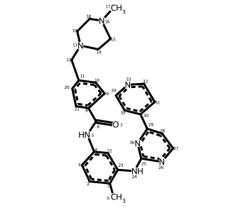 Cc1ccc(NC(=O)c2ccc(CN3CCN(C)CC3)cc2)cc1Nc1nccc(-c2ccncc2)n1